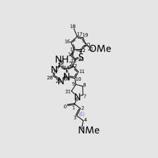 C=C(/C=C/CNC)N1CCC(c2cc(-c3cc4cc(C)cc(OC)c4s3)c3c(N)ncnn23)C1